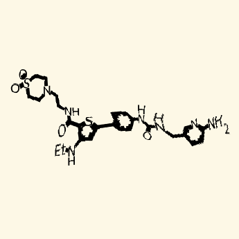 CCNc1cc(-c2ccc(NC(=O)NCc3ccc(N)nc3)cc2)sc1C(=O)NCCN1CCS(=O)(=O)CC1